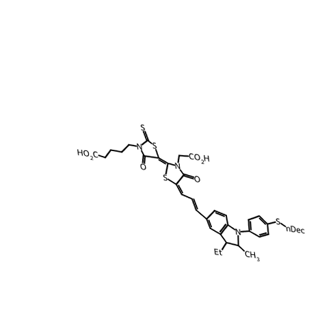 CCCCCCCCCCSc1ccc(N2c3ccc(C=CC=c4s/c(=C5/SC(=S)N(CCCCC(=O)O)C5=O)n(CC(=O)O)c4=O)cc3C(CC)C2C)cc1